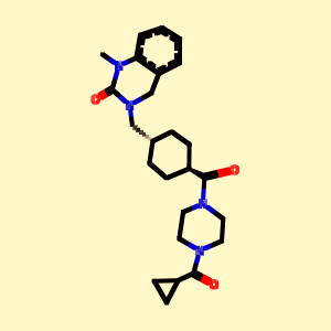 CN1C(=O)N(C[C@H]2CC[C@H](C(=O)N3CCN(C(=O)C4CC4)CC3)CC2)Cc2ccccc21